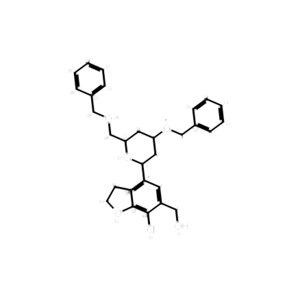 OCc1cc(C2CC(OCc3ccccc3)CC(COCc3ccccc3)O2)c2c(c1Cl)OCC2